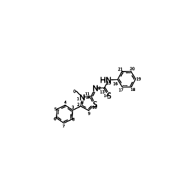 Cn1c(-c2ccccc2)csc1=NC(=S)Nc1ccccc1